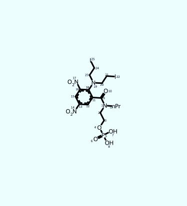 CCCN(CCOP(=O)(O)O)C(=O)c1cc([N+](=O)[O-])cc([N+](=O)[O-])c1N(CCI)CCI